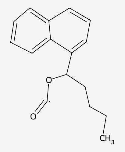 CCCCC(O[C]=O)c1cccc2ccccc12